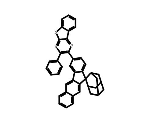 c1ccc(-c2nc3sc4ccccc4c3nc2-c2ccc3c(c2)-c2cc4ccccc4cc2C32C3CC4CC(C3)CC2C4)cc1